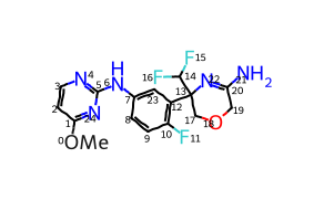 COc1ccnc(Nc2ccc(F)c(C3(C(F)F)COCC(N)=N3)c2)n1